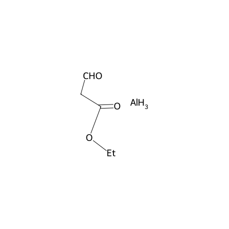 CCOC(=O)CC=O.[AlH3]